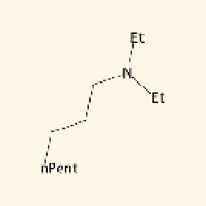 CC[CH]CCCCCN(CC)CC